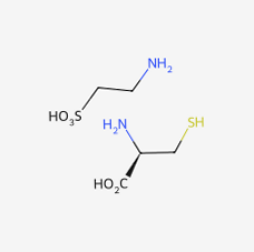 NCCS(=O)(=O)O.N[C@@H](CS)C(=O)O